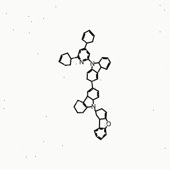 C1=CCC(c2cc(C3CC=CCC3)nc(N3C4=CCC(C5=CC6C7=C(CCCC7)N(C7CC=C8Oc9ccccc9C8C7)C6C=C5)C=C4C4C=CC=CC43)c2)C=C1